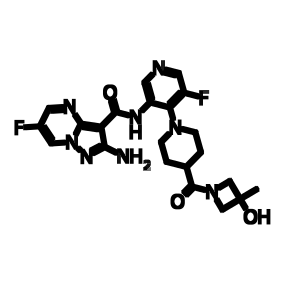 CC1(O)CN(C(=O)C2CCN(c3c(F)cncc3NC(=O)c3c(N)nn4cc(F)cnc34)CC2)C1